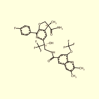 Cc1cc2cc(C(=O)NC[C@](O)(c3cc4c(c(-c5ccc(F)cc5)n3)OC[C@]4(C)C(N)=O)C(F)(F)F)cc(OC(F)(F)F)c2nc1C